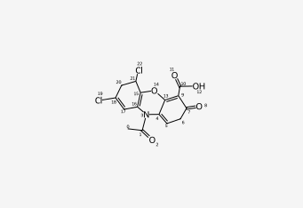 CC(=O)N1C2=CCC(=O)C(C(=O)O)=C2OC2=C1C=C(Cl)CC2Cl